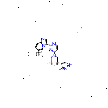 Cc1n[nH]cc1[C@H]1CN(c2ccnc(-c3cnc4ccc(C(F)(F)F)cn34)n2)C[C@@H](C)O1